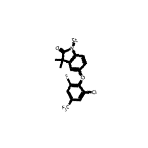 CCN1C(=O)C(C)(C)c2cc(Oc3c(F)cc(C(F)(F)F)cc3Cl)ccc21